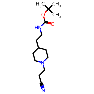 CC(C)(C)OC(=O)NCCC1CCN(CCC#N)CC1